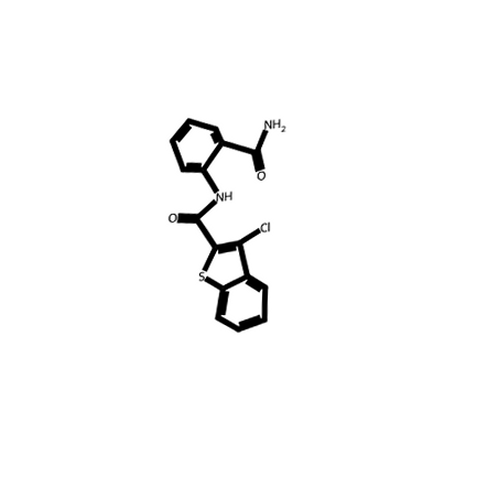 NC(=O)c1ccccc1NC(=O)c1sc2ccccc2c1Cl